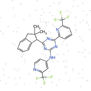 CC1(C)Cc2ccccc2C1c1nc(Nc2ccnc(C(F)(F)F)c2)nc(-c2cccc(C(F)(F)F)n2)n1